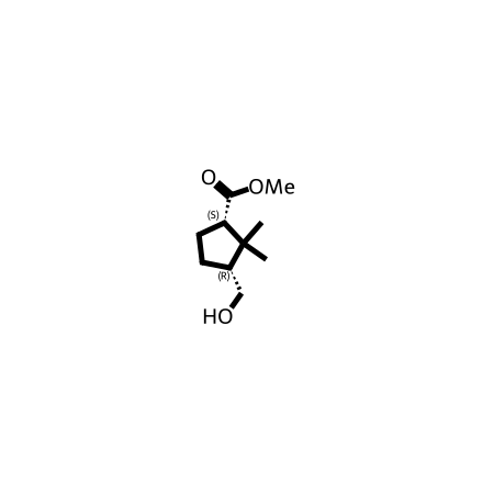 COC(=O)[C@H]1CC[C@@H](CO)C1(C)C